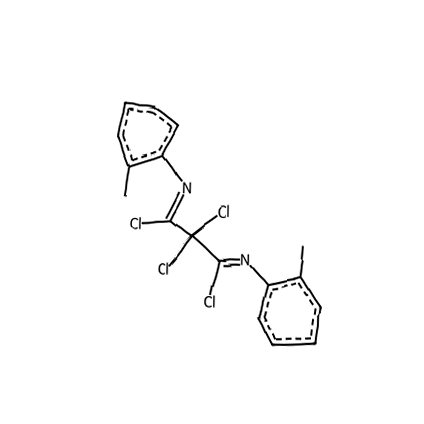 Cc1ccccc1N=C(Cl)C(Cl)(Cl)C(Cl)=Nc1ccccc1C